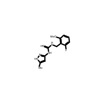 COc1cccc(F)c1CNC(=N)Nc1cc(C(C)(C)C)[nH]n1